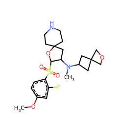 COc1ccc(S(=O)(=O)C2OC3(CCNCC3)CC2N(C)C2CC3(COC3)C2)c(F)c1